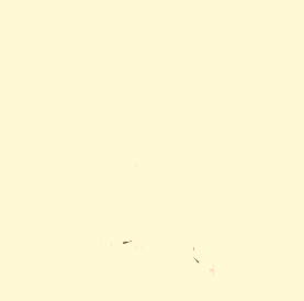 CCCCCCCC(=O)OC1OC[C@@H](O)[C@H](O)[C@H]1O